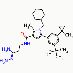 Cc1c(C(=O)NCC/C(N)=N/N)cc(-c2cc(C(C)(C)C)cc(C3(C)CC3)c2)n1CC1CCCCC1